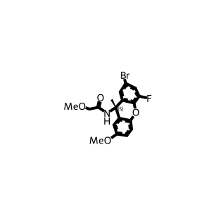 COCC(=O)N[C@@]1(C)c2cc(OC)ccc2Oc2c(F)cc(Br)cc21